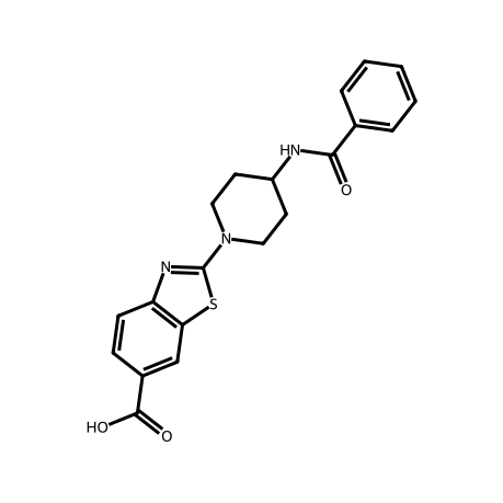 O=C(O)c1ccc2nc(N3CCC(NC(=O)c4ccccc4)CC3)sc2c1